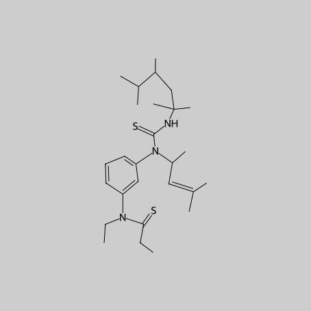 CCC(=S)N(CC)c1cccc(N(C(=S)NC(C)(C)CC(C)C(C)C)C(C)C=C(C)C)c1